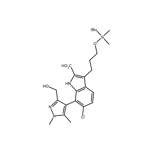 Cc1c(-c2c(Cl)ccc3c(CCCO[Si](C)(C)C(C)(C)C)c(C(=O)O)[nH]c23)c(CO)nn1C